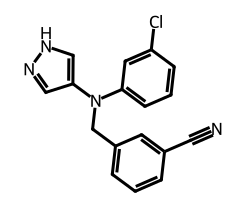 N#Cc1cccc(CN(c2cn[nH]c2)c2cccc(Cl)c2)c1